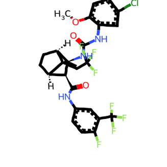 COc1ccc(Cl)cc1NC(=O)N[C@H]1[C@@H](C(=O)Nc2ccc(F)c(C(F)(F)F)c2)[C@H]2CC[C@@H]1/C2=C\C(F)(F)F